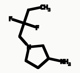 CCC(F)(F)CN1CCC(N)C1